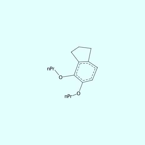 CCCOc1ccc2c(c1OCCC)CCC2